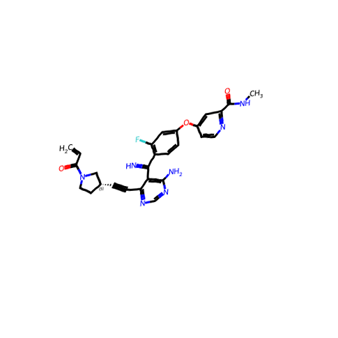 C=CC(=O)N1CC[C@@H](C#Cc2ncnc(N)c2C(=N)c2ccc(Oc3ccnc(C(=O)NC)c3)cc2F)C1